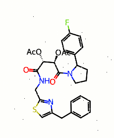 CC(=O)O[C@@H](C(=O)NCc1nc(Cc2ccccc2)cs1)[C@@H](OC(C)=O)C(=O)N1CCCC1c1ccc(F)cc1